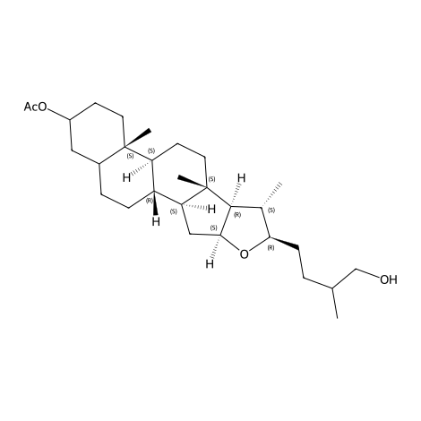 CC(=O)OC1CC[C@@]2(C)C(CC[C@H]3[C@@H]4C[C@@H]5O[C@H](CCC(C)CO)[C@@H](C)[C@@H]5[C@@]4(C)CC[C@@H]32)C1